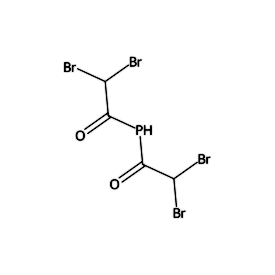 O=C(PC(=O)C(Br)Br)C(Br)Br